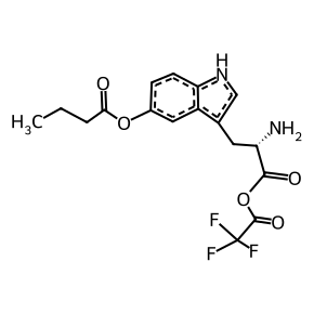 CCCC(=O)Oc1ccc2[nH]cc(C[C@H](N)C(=O)OC(=O)C(F)(F)F)c2c1